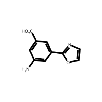 Nc1cc(C(=O)O)cc(-c2ncco2)c1